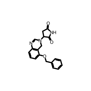 O=C1CC(N2C=Nc3cccc(OCc4ccccc4)c3C2)C(=O)N1